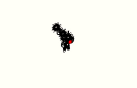 CCN(CC)C(=O)[C@H]1CO[C@@]2(C)CC[C@@H]3c4ccc(OCc5ccccc5)cc4CC[C@H]3[C@H]12